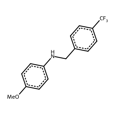 COc1ccc(NCc2ccc(C(F)(F)F)cc2)cc1